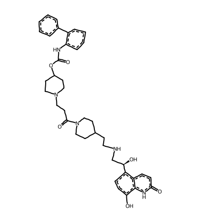 O=C(Nc1ccccc1-c1ccccc1)OC1CCN(CCC(=O)N2CCC(CCNC[C@@H](O)c3ccc(O)c4[nH]c(=O)ccc34)CC2)CC1